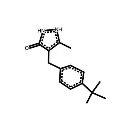 Cc1[nH][nH]c(=O)c1Cc1ccc(C(C)(C)C)cc1